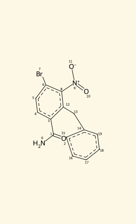 NC(=O)c1ccc(Br)c([N+](=O)[O-])c1Cc1ccccc1